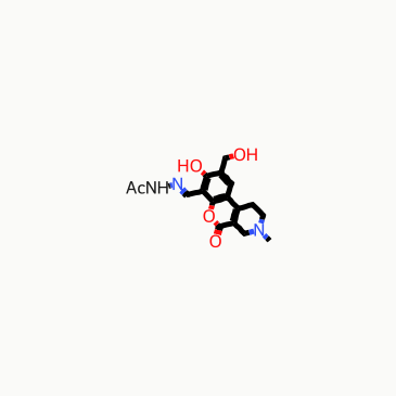 CC(=O)N/N=C/c1c(O)c(CO)cc2c3c(c(=O)oc12)CN(C)CC3